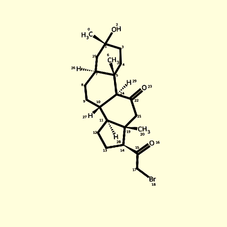 C[C@@]1(O)CC[C@@]2(C)[C@@H](CC[C@H]3[C@@H]4CC[C@H](C(=O)CBr)[C@@]4(C)CC(=O)[C@@H]32)C1